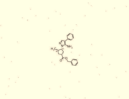 C[C@@H]1CC(C(=O)OCc2ccccc2)C[C@H]1n1ncc(-c2ccccc2)c1N